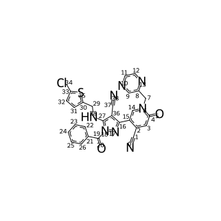 N#Cc1cc(=O)n(Cc2cnccn2)cc1-c1nn(C(=O)c2ccccc2)c(NCc2ccc(Cl)s2)c1C#N